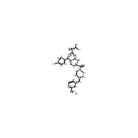 CC(C)NC(=O)OC(c1ccc(Cl)cc1)C1CCN(C(=O)C2CCN(Cc3ccnc(N)c3)CC2)CC1